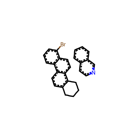 Brc1cccc2c1ccc1c3c(ccc12)CCCC3.c1ccc2cnccc2c1